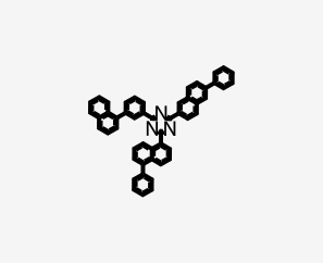 c1ccc(-c2ccc3cc(-c4nc(-c5cccc(-c6cccc7ccccc67)c5)nc(-c5cccc6c(-c7ccccc7)cccc56)n4)ccc3c2)cc1